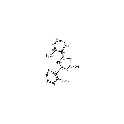 Cc1cccnc1[C@@H]1C[C@H](O)C[C@H](c2ncccc2C)N1